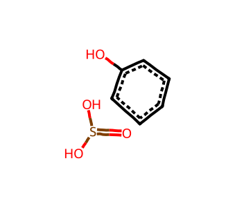 O=S(O)O.Oc1ccccc1